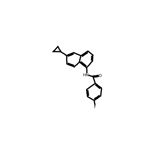 O=C(Nc1cccc2cc(C3CC3)ccc12)c1ccc(F)cc1